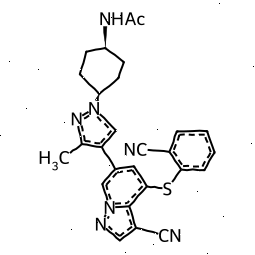 CC(=O)N[C@H]1CC[C@@H](n2cc(-c3cc(Sc4ccccc4C#N)c4c(C#N)cnn4c3)c(C)n2)CC1